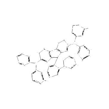 CC1=CC(N(C2=CC3=C(CC2)C2=C(C=C(N(c4ccccc4)c4cccc(C)c4)CC2)[C@]32c3ccccc3C3C=CC=CC32)c2ccccc2)=CCC1